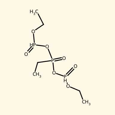 CCO[PH](=O)OP(=O)(CC)O[PH](=O)OCC